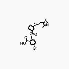 Cc1ncsc1CCOc1cccc(C(=O)Nc2ccc(Br)cc2C(=O)O)c1